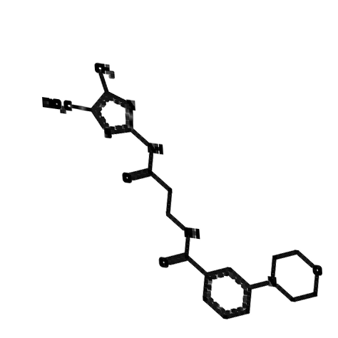 CCOC(=O)c1sc(NC(=O)CCNC(=O)c2cccc(N3CCOCC3)c2)nc1C